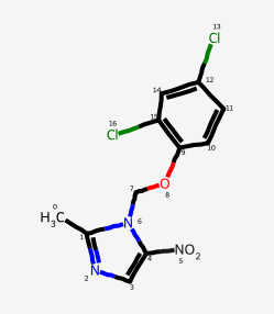 Cc1ncc([N+](=O)[O-])n1COc1ccc(Cl)cc1Cl